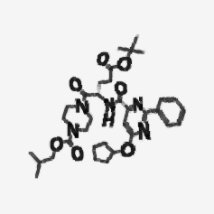 CC(C)COC(=O)N1CCN(C(=O)[C@H](CCC(=O)OC(C)(C)C)NC(=O)c2cc(OC3CCCC3)nc(-c3ccccc3)n2)CC1